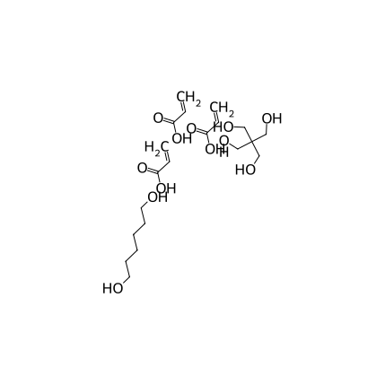 C=CC(=O)O.C=CC(=O)O.C=CC(=O)O.OCC(CO)(CO)CO.OCCCCCCO